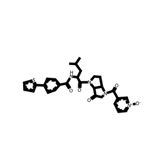 CC(C)CC(NC(=O)c1ccc(-c2cccs2)cc1)C(=O)N1CCC2C1C(=O)CN2C(=O)c1ccc[n+]([O-])c1